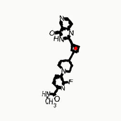 CNC(=O)c1ccc(N2CCC(N3CC4(c5nc6ccncc6c(=O)[nH]5)CC3C4)CC2)c(F)n1